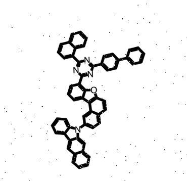 c1ccc(-c2ccc(-c3nc(-c4cccc5ccccc45)nc(-c4cccc5c4oc4ccc6ccc(-n7c8ccccc8c8cc9ccccc9cc87)cc6c45)n3)cc2)cc1